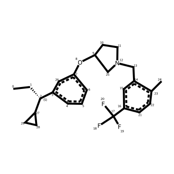 CC[C@H](c1cccc(OC2CCN(Cc3cc(C(F)(F)F)ccc3C)C2)c1)C1CC1